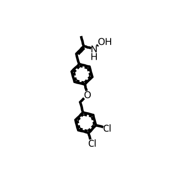 CC(=Cc1ccc(OCc2ccc(Cl)c(Cl)c2)cc1)NO